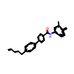 CCCCCc1ccc(-c2ccc(C(=O)Nc3ccc(C)c(C)c3)cc2)cc1